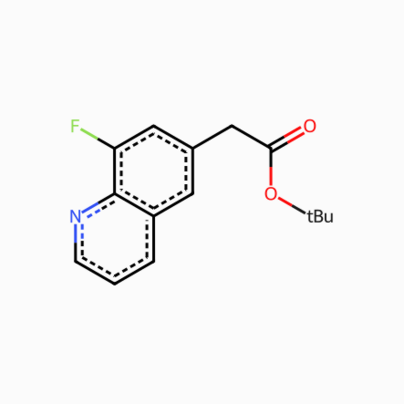 CC(C)(C)OC(=O)Cc1cc(F)c2ncccc2c1